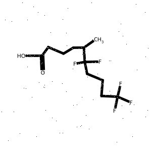 CC(CCCC(=O)O)C(F)(F)CCCC(F)(F)F